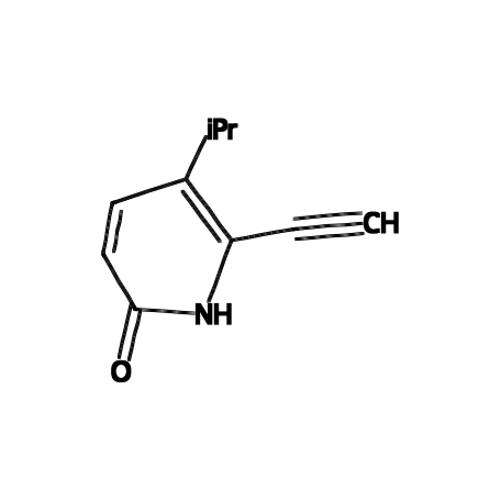 C#Cc1[nH]c(=O)ccc1C(C)C